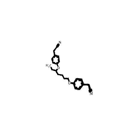 CCC(CCCCOc1ccc(CC#N)cc1)Oc1ccc(CC#N)cc1